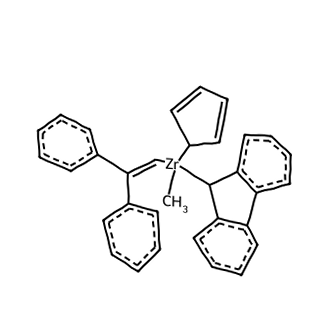 [CH3][Zr]([CH]=C(c1ccccc1)c1ccccc1)([CH]1C=CC=C1)[CH]1c2ccccc2-c2ccccc21